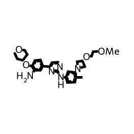 COCCOC1CN(c2cc(Nc3nccc(-c4ccc(OC5CCOCC5)c(N)c4)n3)ccc2C)C1